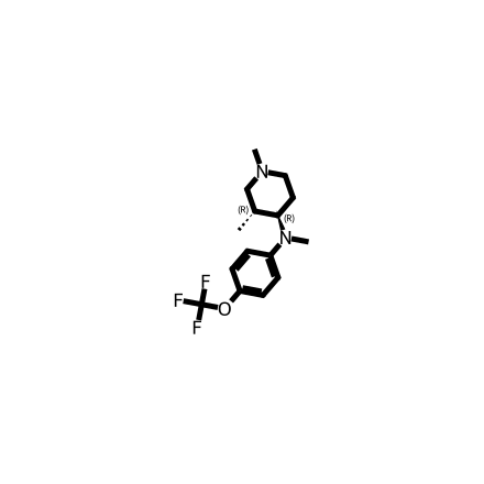 C[C@@H]1CN(C)CC[C@H]1N(C)c1ccc(OC(F)(F)F)cc1